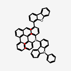 c1ccc(-c2cccc3cccc(-c4ccccc4N(c4ccc(-c5cccc6c5oc5ccccc56)cc4)c4cccc5c4c4ccccc4n5-c4ccccc4)c23)cc1